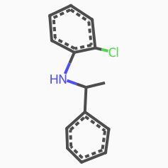 CC(Nc1ccccc1Cl)c1ccccc1